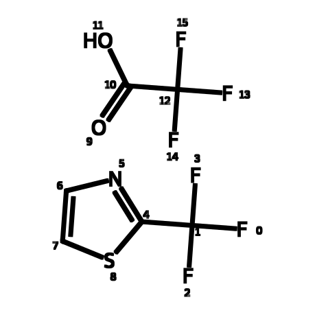 FC(F)(F)c1nccs1.O=C(O)C(F)(F)F